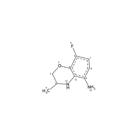 CC1COc2c(F)ccc(N)c2N1